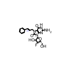 Nc1nc2c(c(=O)[nH]1)n(C/C=C/c1ccccc1)c(=O)n2[C@@H]1O[C@H](CO)[C@@H](F)[C@H]1O